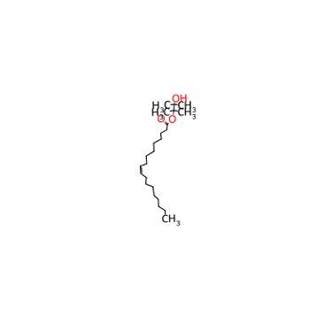 CCCCCCCC/C=C\CCCCCCCC(=O)OC(C)(C)C(C)(C)O